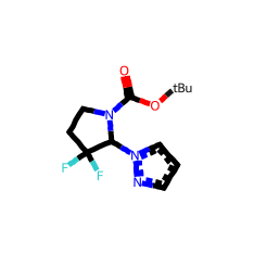 CC(C)(C)OC(=O)N1CCC(F)(F)C1n1cccn1